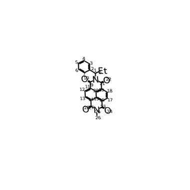 CCC(c1ccccc1)N1C(=O)c2ccc3c4c(ccc(c24)C1=O)C(=O)N(C)C3=O